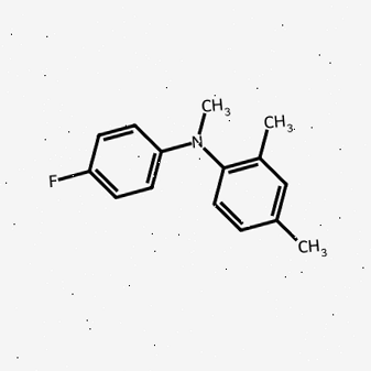 Cc1ccc(N(C)c2ccc(F)cc2)c(C)c1